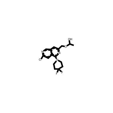 CC(O)OCc1cc2cnc(Cl)cc2c(N2CCC(F)(F)CC2)n1